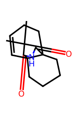 O=C1NC(=O)C23CCC=CC12CCCC3